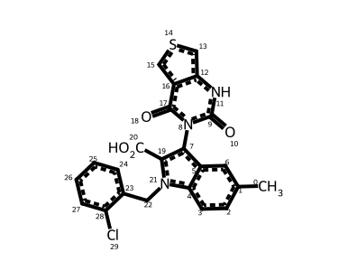 Cc1ccc2c(c1)c(-n1c(=O)[nH]c3cscc3c1=O)c(C(=O)O)n2Cc1ccccc1Cl